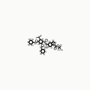 CC(C)c1cc(C(=O)Nc2ccc3c(ccn3C(=O)OC(C)(C)C)c2)c(OCc2ccccc2)cc1OCc1ccccc1